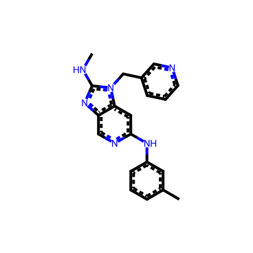 CNc1nc2cnc(Nc3cccc(C)c3)cc2n1Cc1cccnc1